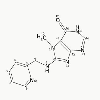 Cn1c(NCc2ccccn2)nc2nc[nH]c(=O)c21